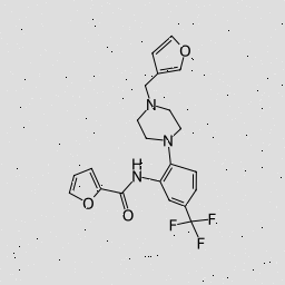 O=C(Nc1cc(C(F)(F)F)ccc1N1CCN(Cc2ccoc2)CC1)c1ccco1